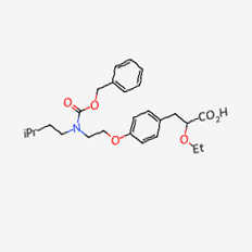 CCOC(Cc1ccc(OCCN(CCC(C)C)C(=O)OCc2ccccc2)cc1)C(=O)O